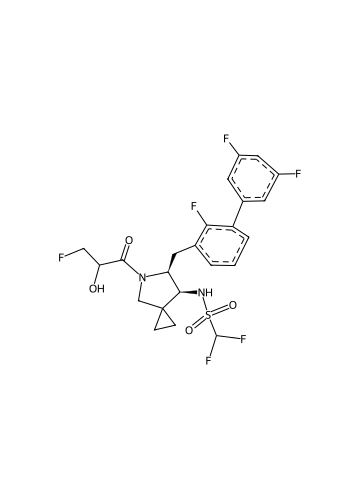 O=C(C(O)CF)N1CC2(CC2)[C@H](NS(=O)(=O)C(F)F)[C@@H]1Cc1cccc(-c2cc(F)cc(F)c2)c1F